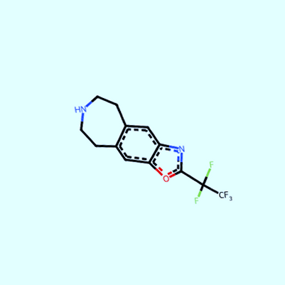 FC(F)(F)C(F)(F)c1nc2cc3c(cc2o1)CCNCC3